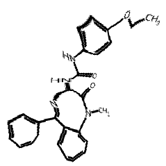 CCOc1ccc(NC(=O)NC2N=C(c3ccccc3)c3ccccc3N(C)C2=O)cc1